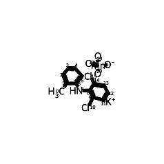 Cc1ccccc1Nc1c(Cl)cccc1Cl.[K+].[O]=[Mn](=[O])(=[O])[O-]